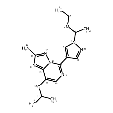 CCOC(C)n1cc(-c2ncc(OC(C)C)c3nc(N)nn23)cn1